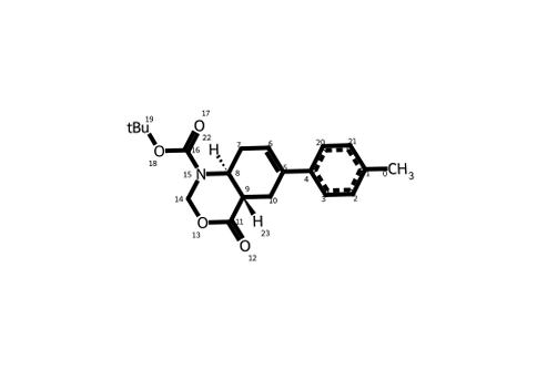 Cc1ccc(C2=CC[C@H]3[C@H](C2)C(=O)OCN3C(=O)OC(C)(C)C)cc1